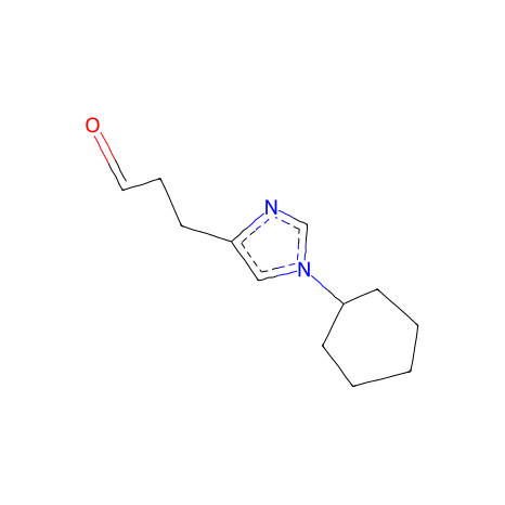 O=CCCc1cn(C2CCCCC2)cn1